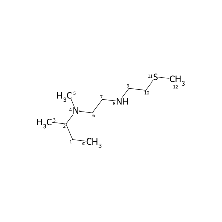 CCC(C)N(C)CCNCCSC